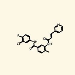 Cc1ccc(C(=O)Nc2ccc(F)c(Cl)c2)cc1NC(=O)C=Cc1cccnc1